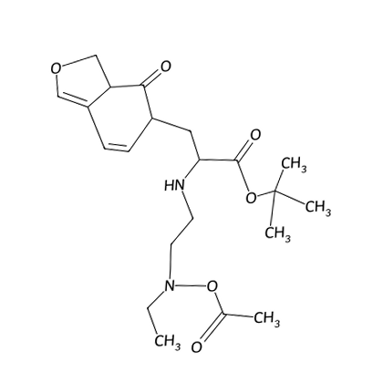 CCN(CCNC(CC1C=CC2=COCC2C1=O)C(=O)OC(C)(C)C)OC(C)=O